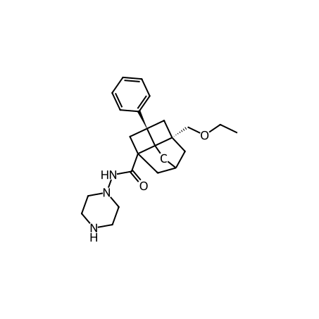 CCOC[C@@]12CC3CC4(C(=O)NN5CCNCC5)C[C@](c5ccccc5)(C1)C42C3